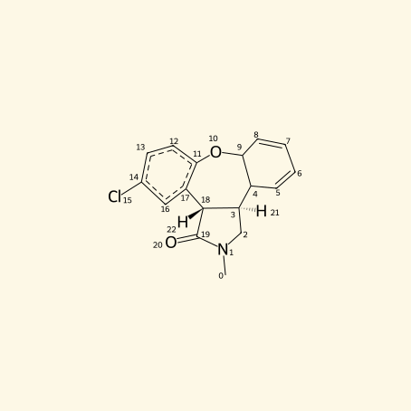 CN1C[C@@H]2C3C=CC=CC3Oc3ccc(Cl)cc3[C@H]2C1=O